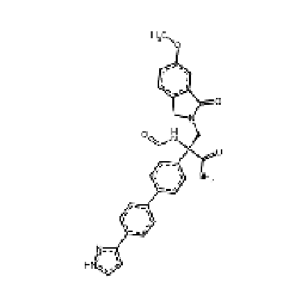 COc1ccc2c(c1)C(=O)N(C[C@@](NC=O)(C(N)=O)c1ccc(-c3ccc(-c4cc[nH]n4)cc3)cc1)C2